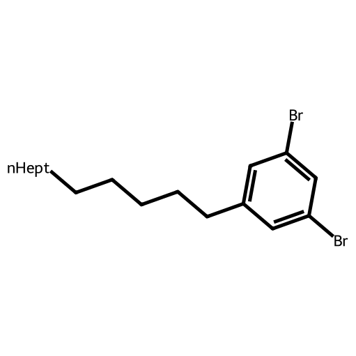 CCCCCCCCCCCCc1cc(Br)cc(Br)c1